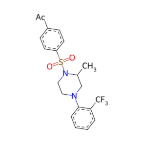 CC(=O)c1ccc(S(=O)(=O)N2CCN(c3ccccc3C(F)(F)F)CC2C)cc1